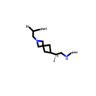 CCCCCCNC[C@H](C)C1CC2(C1)CN(CC(CC)CCCCC)C2